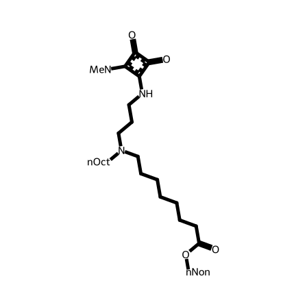 CCCCCCCCCOC(=O)CCCCCCCN(CCCCCCCC)CCCNc1c(NC)c(=O)c1=O